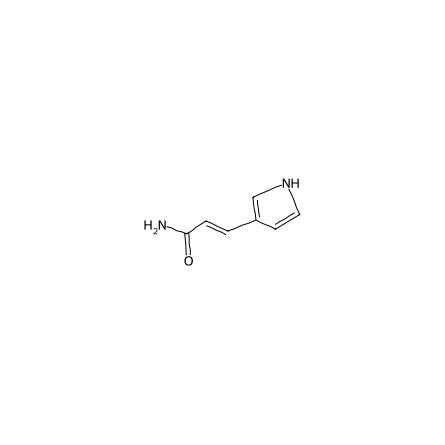 NC(=O)/C=C/c1cc[nH]c1